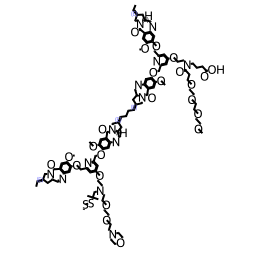 C/C=C1\CC2C=Nc3cc(OCc4cc(OCCN(CCOCCOCCN5CCOCC5)CC(C)(C)SSC)cc(COc5cc6c(cc5OC)C(=O)N5C/C(=C/CC/C=C7\CC8C=Nc9cc(OCc%10cc(OCCN(CCCC(=O)O)C(=O)CCOCCOCCOCCOC)cc(COc%11cc%12c(cc%11OC)C(=O)N%11C/C(=C/C)C[C@H]%11C=N%12)n%10)c(OC)cc9C(=O)N8C7)C[C@H]5C=N6)n4)c(OC)cc3C(=O)N2C1